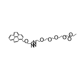 CCOC(=O)COCCOCCOCCOCCn1cc(COCc2ccc3ccc4cccc5ccc2c3c45)nn1